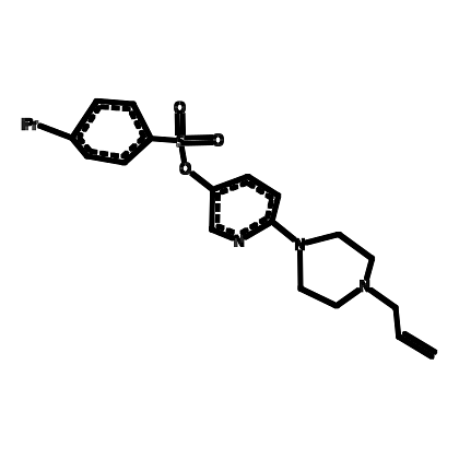 C=CCN1CCN(c2ccc(OS(=O)(=O)c3ccc(C(C)C)cc3)cn2)CC1